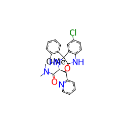 COc1ccccc1C1(N[C@@H](Cc2ccccn2)C(=O)N(C)C)C(=O)Nc2ccc(Cl)cc21